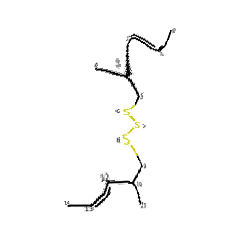 CC=CC(C)CSSSCC(C)C=CC